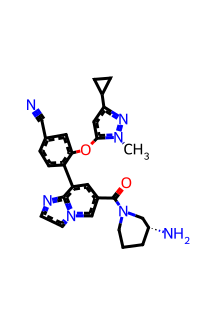 Cn1nc(C2CC2)cc1Oc1cc(C#N)ccc1-c1cc(C(=O)N2CCC[C@@H](N)C2)cn2ccnc12